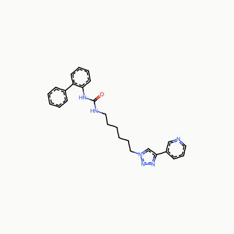 O=C(NCCCCCCn1cc(-c2cccnc2)nn1)Nc1ccccc1-c1ccccc1